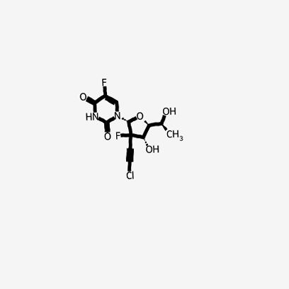 C[C@H](O)[C@H]1O[C@@H](n2cc(F)c(=O)[nH]c2=O)C(F)(C#CCl)[C@H]1O